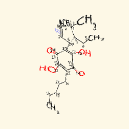 C=C(C)C(CC)[C@@H](/C=C\C)C1=C(O)C(=O)C(CCCCC)=C(O)C1=O